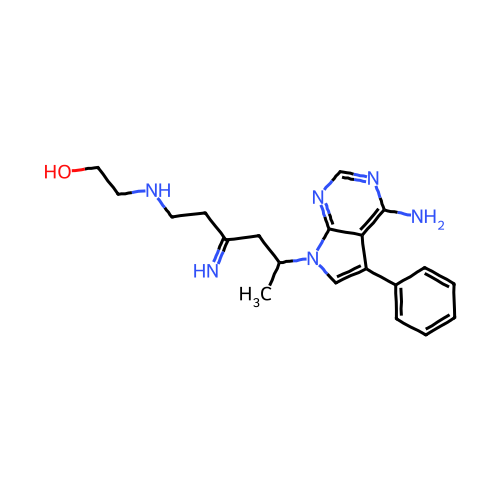 CC(CC(=N)CCNCCO)n1cc(-c2ccccc2)c2c(N)ncnc21